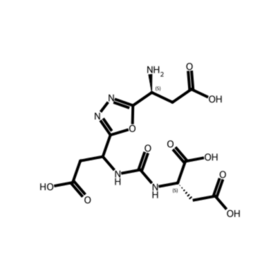 N[C@@H](CC(=O)O)c1nnc(C(CC(=O)O)NC(=O)N[C@@H](CC(=O)O)C(=O)O)o1